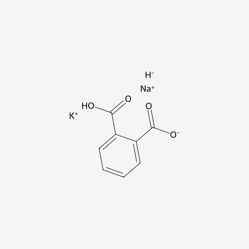 O=C([O-])c1ccccc1C(=O)O.[H-].[K+].[Na+]